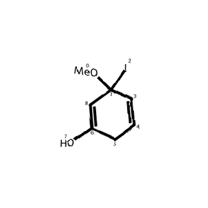 COC1(I)C=CCC(O)=C1